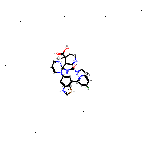 CCNC(=O)NC1(C2CNCCC2(C)C(=O)O)N=CC=CN1c1cc(-c2cc(F)ccn2)c2scnc2c1